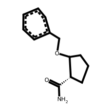 NC(=O)[C@H]1CCC[C]1OCc1ccccc1